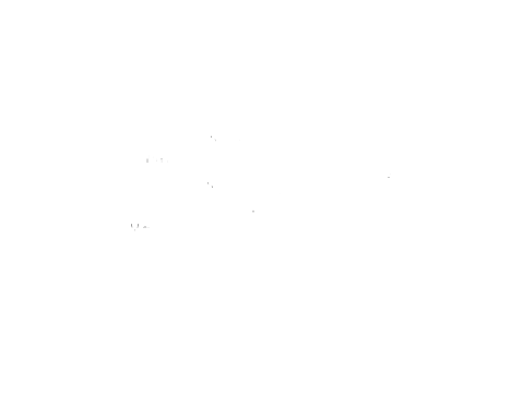 CCCCCc1nc(=O)c(S(=O)(=O)c2ccc(Br)cc2)c(O)n1[C@@H](COC)c1ccccc1